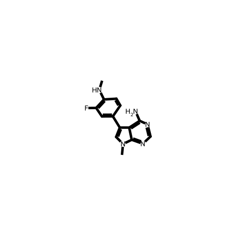 CNc1ccc(-c2cn(C)c3ncnc(N)c23)cc1F